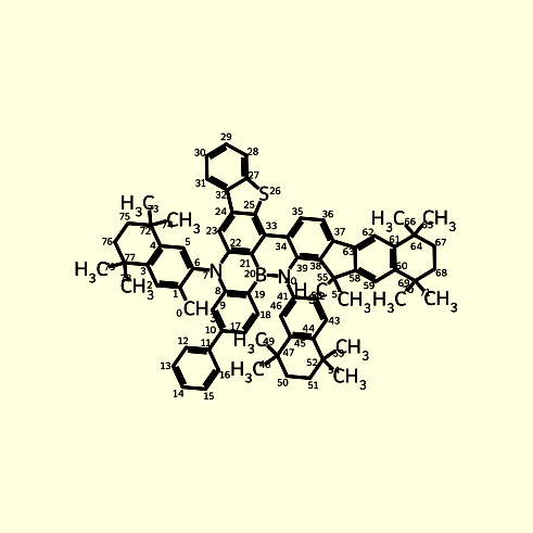 Cc1cc2c(cc1N1c3cc(-c4ccccc4)ccc3B3c4c1cc1c(sc5ccccc51)c4-c1ccc4c(c1N3c1ccc3c(c1)C(C)(C)CCC3(C)C)C(C)(C)c1cc3c(cc1-4)C(C)(C)CCC3(C)C)C(C)(C)CCC2(C)C